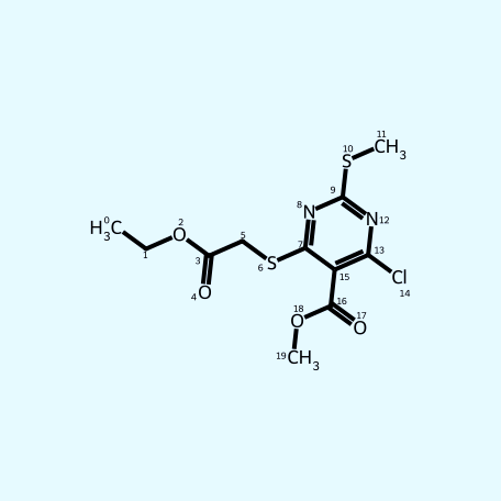 CCOC(=O)CSc1nc(SC)nc(Cl)c1C(=O)OC